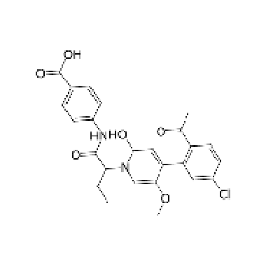 CCC(C(=O)Nc1ccc(C(=O)O)cc1)N1C=C(OC)C(c2cc(Cl)ccc2C(C)=O)=CC1O